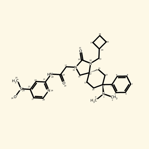 CN(C)[C@]1(c2ccccc2)CC[C@]2(CC1)CN(CC(=O)Nc1cc([S+](C)[O-])ccn1)C(=O)N2CC1CCC1